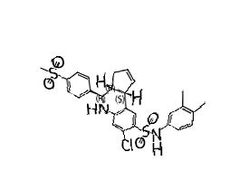 Cc1ccc(NS(=O)(=O)c2cc3c(cc2Cl)N[C@@H](c2ccc(S(C)(=O)=O)cc2)[C@@H]2CC=C[C@H]32)cc1C